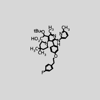 Cc1cccc(Nc2nc(C)c(C(OC(C)(C)C)C(=O)O)c(N3CCC(C)(C)CC3)c2-c2ccc(OCCc3ccc(F)cc3)cc2)n1